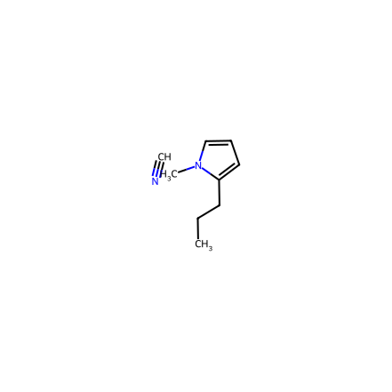 C#N.CCCc1cccn1C